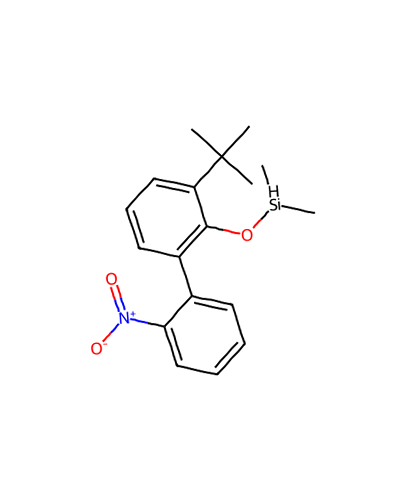 C[SiH](C)Oc1c(-c2ccccc2[N+](=O)[O-])cccc1C(C)(C)C